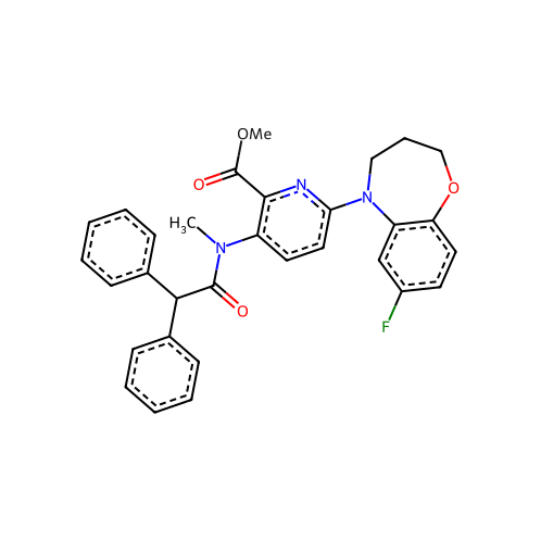 COC(=O)c1nc(N2CCCOc3ccc(F)cc32)ccc1N(C)C(=O)C(c1ccccc1)c1ccccc1